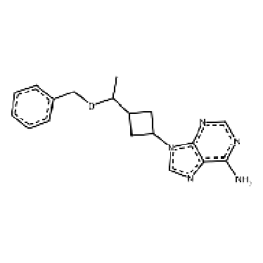 CC(OCc1ccccc1)C1CC(n2cnc3c(N)ncnc32)C1